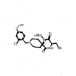 CCCCN1C(=O)C(CC(C)C)NC(=O)C12CCN(Cc1ccc(OCCC)cc1Cl)CC2